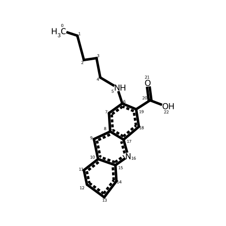 CCCCCNc1cc2cc3ccccc3nc2cc1C(=O)O